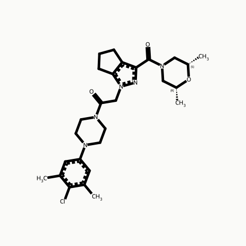 Cc1cc(N2CCN(C(=O)Cn3nc(C(=O)N4C[C@@H](C)O[C@@H](C)C4)c4c3CCC4)CC2)cc(C)c1Cl